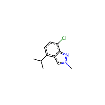 CC(C)c1ccc(Cl)c2nn(C)cc12